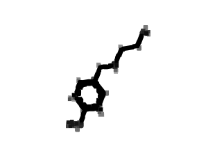 COc1ncc(COCCC(C)=O)cn1